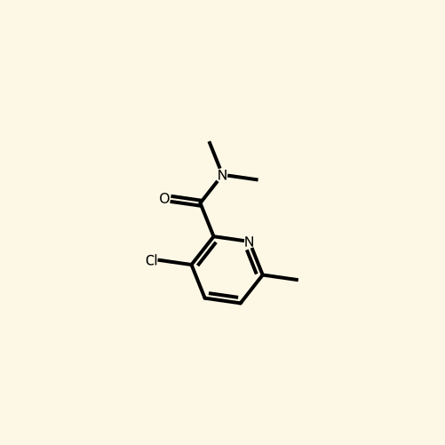 Cc1ccc(Cl)c(C(=O)N(C)C)n1